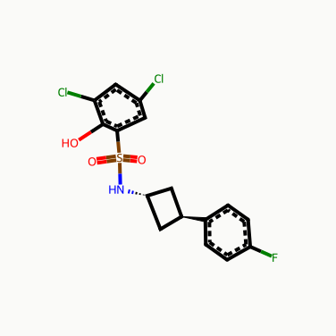 O=S(=O)(N[C@H]1C[C@H](c2ccc(F)cc2)C1)c1cc(Cl)cc(Cl)c1O